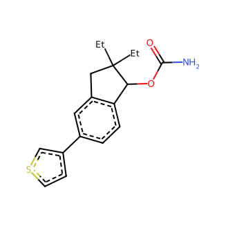 CCC1(CC)Cc2cc(-c3ccsc3)ccc2C1OC(N)=O